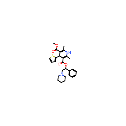 COC(=O)C1=C(C)NC(C)=C(C(=O)OC(CN2CCCCC2)c2ccccc2)C1c1cccs1